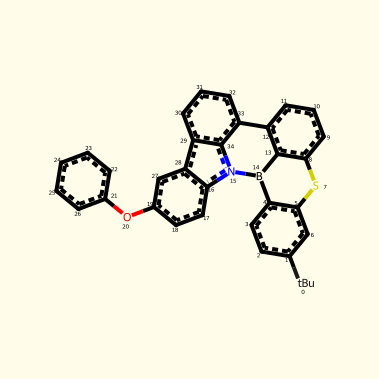 CC(C)(C)c1ccc2c(c1)Sc1cccc3c1B2n1c2ccc(Oc4ccccc4)cc2c2cccc-3c21